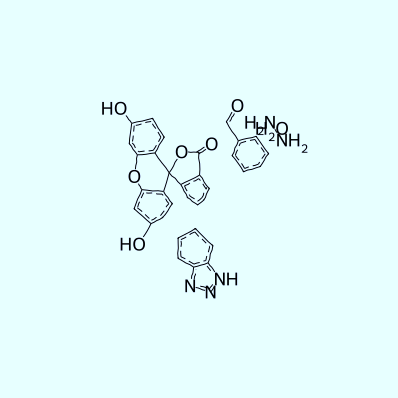 NN.O.O=C1OC2(c3ccc(O)cc3Oc3cc(O)ccc32)c2ccccc21.O=Cc1ccccc1.c1ccc2[nH]nnc2c1